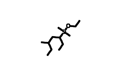 CCO[Si](C)(C)C(CC)CC(C)CC